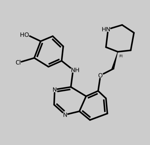 Oc1ccc(Nc2ncnc3cccc(OC[C@@H]4CCCNC4)c23)cc1Cl